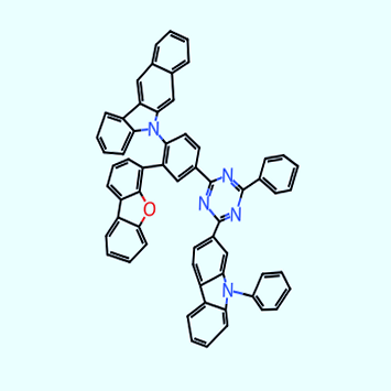 c1ccc(-c2nc(-c3ccc(-n4c5ccccc5c5cc6ccccc6cc54)c(-c4cccc5c4oc4ccccc45)c3)nc(-c3ccc4c5ccccc5n(-c5ccccc5)c4c3)n2)cc1